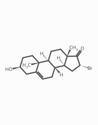 C[C@]12CC[C@H](O)CC1=CC[C@@H]1[C@@H]2CC[C@]2(C)C(=O)[C@H](Br)C[C@@H]12